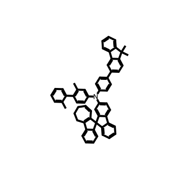 Cc1ccccc1-c1ccc(N(c2ccc(-c3ccc4c(c3)-c3ccccc3C4(C)C)cc2)c2ccc3c(c2)C2(C4=C(CCCC=C4)c4ccccc42)c2ccccc2-3)cc1C